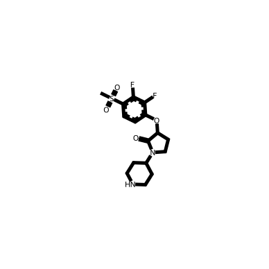 CS(=O)(=O)c1ccc(OC2CCN(C3CCNCC3)C2=O)c(F)c1F